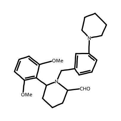 COc1cccc(OC)c1C1CCCC(C=O)N1Cc1cccc(N2CCCCC2)c1